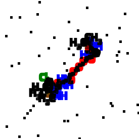 Cc1nc(NC(=O)c2ccccc2NC(=O)CCOCCOCCOCCC(=O)NCCNC(=O)C[C@@H]2N=C(c3ccc(Cl)cc3)c3c(sc(C)c3C)N3C2=NNC3C)sc1C